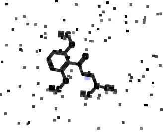 COc1cccc(OC)c1C(=O)/C=C/N(C)C